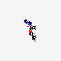 O=C1N(CCC(CCOc2ccc(-c3ccc(Cl)cc3)cc2)c2ccccc2)CCN1c1ccncc1